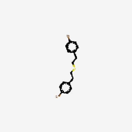 Brc1ccc(CCSCCc2ccc(Br)cc2)cc1